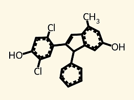 Cc1cc(O)cc2c1C=C(c1cc(Cl)c(O)cc1Cl)C2c1ccccc1